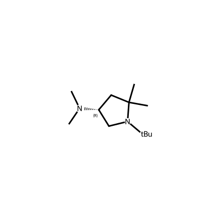 CN(C)[C@H]1CN(C(C)(C)C)C(C)(C)C1